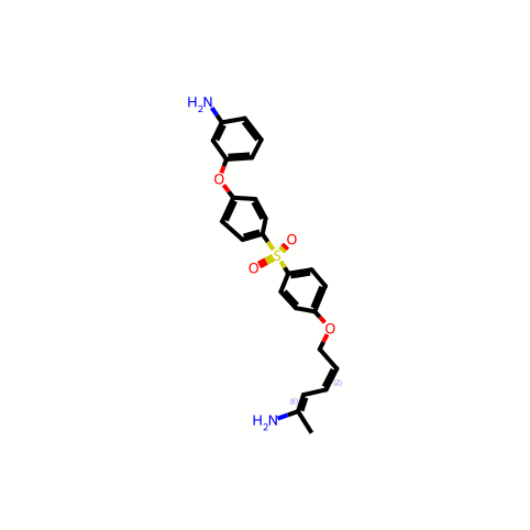 C/C(N)=C\C=C/COc1ccc(S(=O)(=O)c2ccc(Oc3cccc(N)c3)cc2)cc1